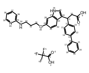 O=C(O)C(F)(F)F.O=C(O)CC(c1ccc(-c2ccccc2)cc1)c1c[nH]c2cc(OCCCNc3ccccn3)ccc12